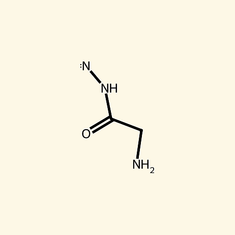 [N]NC(=O)CN